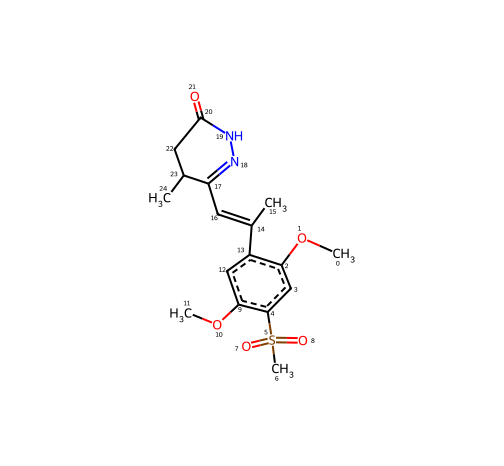 COc1cc(S(C)(=O)=O)c(OC)cc1C(C)=CC1=NNC(=O)CC1C